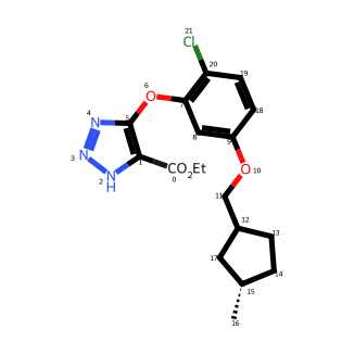 CCOC(=O)c1[nH]nnc1Oc1cc(OCC2CC[C@H](C)C2)ccc1Cl